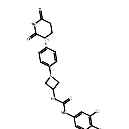 Cc1ccc(NC(=O)NC2CN(c3ccc([C@H]4CCC(=O)NC4=O)cc3)C2)cc1Cl